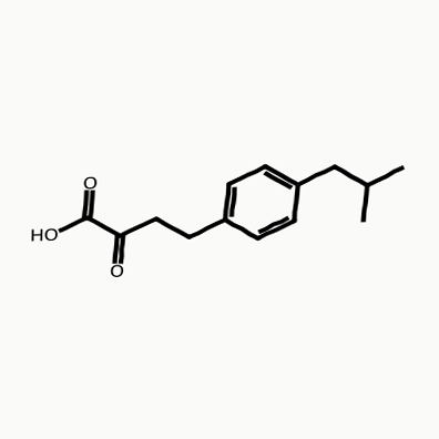 CC(C)Cc1ccc(CCC(=O)C(=O)O)cc1